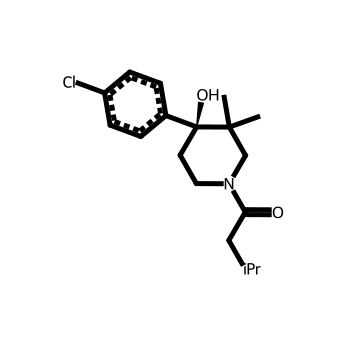 CC(C)CC(=O)N1CC[C@](O)(c2ccc(Cl)cc2)C(C)(C)C1